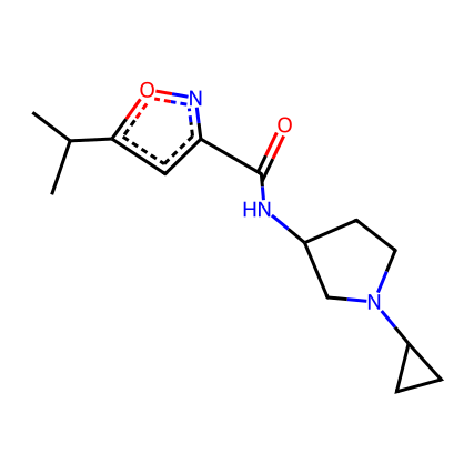 CC(C)c1cc(C(=O)NC2CCN(C3CC3)C2)no1